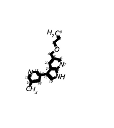 C=CCOCc1cnc2[nH]cc(-c3cncc(C)c3)c2c1